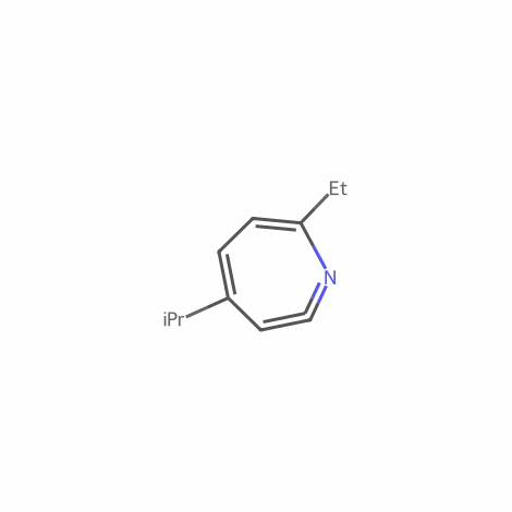 CCC1=CC=C(C(C)C)C=C=N1